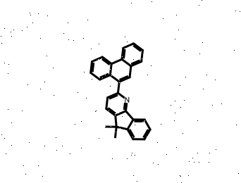 CC1(C)c2ccccc2-c2nc(-c3cc4ccccc4c4ccccc34)ccc21